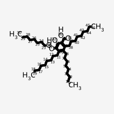 CCCCCCCCCc1c(CCCCCCCCC)c(OOCCCCCCCC)c(O)c(C(=O)O)c1CCCCCCCCC